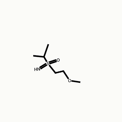 COCCS(=N)(=O)C(C)C